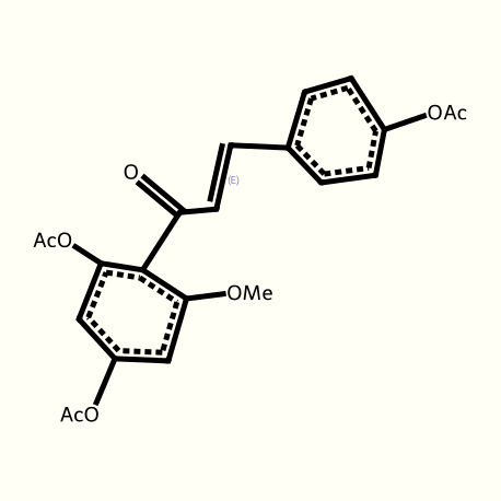 COc1cc(OC(C)=O)cc(OC(C)=O)c1C(=O)/C=C/c1ccc(OC(C)=O)cc1